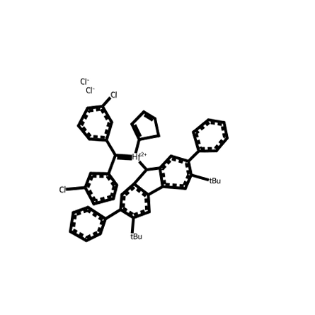 CC(C)(C)c1cc2c(cc1-c1ccccc1)[CH]([Hf+2]([C]1=CC=CC1)=[C](c1cccc(Cl)c1)c1cccc(Cl)c1)c1cc(-c3ccccc3)c(C(C)(C)C)cc1-2.[Cl-].[Cl-]